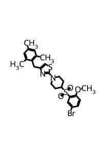 COc1ccc(Br)cc1S(=O)(=O)C1CCN(c2nc(Cc3c(C)cc(C)cc3C)cs2)CC1